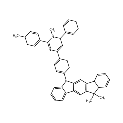 CC1C=CC(C2=NC(C3=CC=C(n4c5ccccc5c5cc6c(cc54)C4C=CC=CC4C6(C)C)CC3)=CC(C3=CCCC=C3)N2C)=CC1